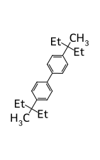 CCC(C)(CC)c1ccc(-c2ccc(C(C)(CC)CC)cc2)cc1